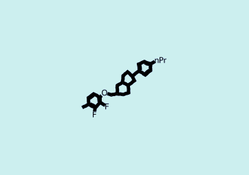 CCCc1ccc(C2CCC3CC(COc4ccc(C)c(F)c4F)CCC3C2)cc1